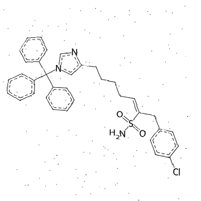 NS(=O)(=O)C(=CCCCCc1cn(C(c2ccccc2)(c2ccccc2)c2ccccc2)cn1)Cc1ccc(Cl)cc1